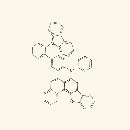 c1ccc(N(c2ccc3oc4ccccc4c3c2)c2ccc(-c3ccccc3-n3c4ccccc4c4ccccc43)cc2-c2cc3ccccc3c3ccccc23)cc1